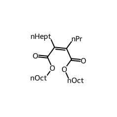 CCCCCCCCOC(=O)C(CCC)=C(CCCCCCC)C(=O)OCCCCCCCC